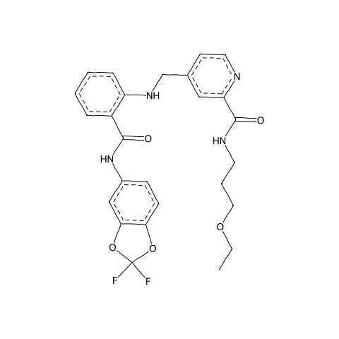 CCOCCCNC(=O)c1cc(CNc2ccccc2C(=O)Nc2ccc3c(c2)OC(F)(F)O3)ccn1